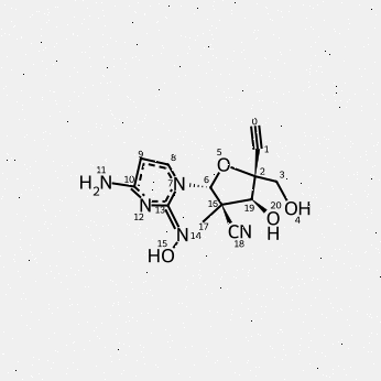 C#C[C@]1(CO)O[C@@H](n2ccc(N)n/c2=N\O)[C@](C)(C#N)[C@@H]1O